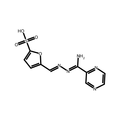 NC(=NN=Cc1ccc(S(=O)(=O)O)o1)c1cnccn1